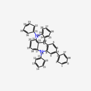 c1ccc(-c2ccc3c(c2)N(c2ccccc2)c2cccc4c2B3c2ccccc2N4c2ccccc2)cc1